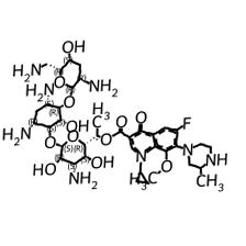 COc1c(N2CCNC(C)C2)c(F)cc2c(=O)c(C(=O)O[C](C)[C@H]3O[C@H](O[C@@H]4[C@@H](O)[C@H](O[C@H]5O[C@H](CN)[C@@H](O)C[C@H]5N)[C@@H](N)C[C@H]4N)[C@H](O)[C@@H](N)[C@@H]3O)cn(C3CC3)c12